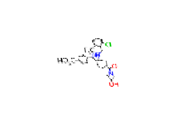 O=C(O)c1ccc(-c2nn(Cc3c(Cl)cccc3C(F)(F)F)c3c2CCC(C(=O)N2CC(O)C2)C3)cc1